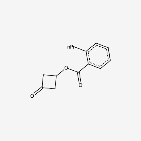 CCCc1ccccc1C(=O)OC1CC(=O)C1